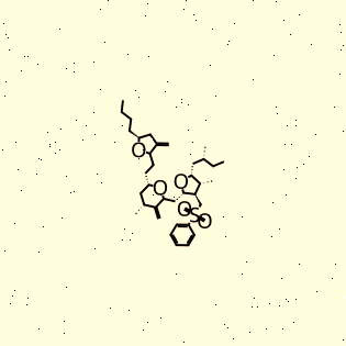 C=C1C[C@H](CCCC)OC1CC[C@H]1C[C@@H](C)C(=C)C(C[C@@H]2O[C@H](C[C@H](C)CC)[C@H](C)[C@H]2CS(=O)(=O)c2ccccc2)O1